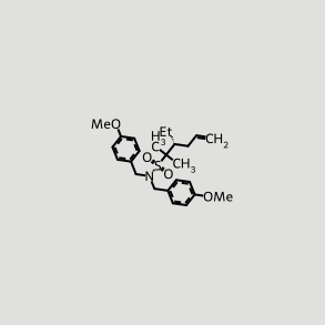 C=CC[C@@H](CC)C(C)(C)S(=O)(=O)N(Cc1ccc(OC)cc1)Cc1ccc(OC)cc1